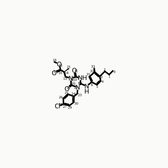 CCCc1ccc(NC2NC(=O)N(C[C@H](C)C(=O)OC)C(=O)N2Cc2ccc(Cl)cc2)cc1C